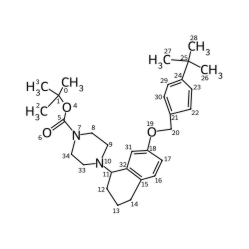 CC(C)(C)OC(=O)N1CCN(C2CCCc3ccc(OCc4ccc(C(C)(C)C)cc4)cc32)CC1